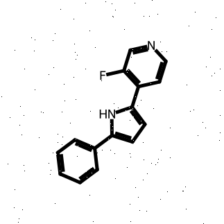 Fc1cnccc1-c1ccc(-c2ccccc2)[nH]1